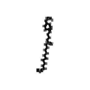 C=Cc1cc[n+](CCCCCCCCCCCCCCCC)cc1.[Br-]